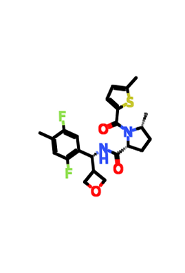 Cc1ccc(C(=O)N2[C@H](C)CC[C@@H]2C(=O)N[C@@H](c2cc(F)c(C)cc2F)C2COC2)s1